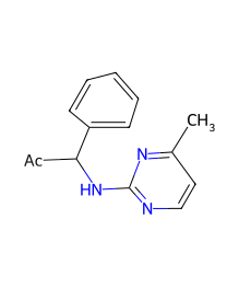 CC(=O)C(Nc1nccc(C)n1)c1ccccc1